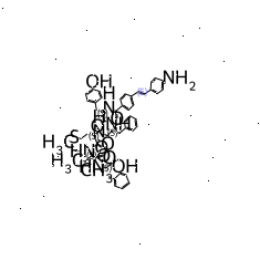 CSCC[C@H](NC(=O)[C@H](Cc1ccccc1)NC(=O)[C@H](Cc1ccc(O)cc1)NC(=O)c1ccc(/C=C/c2ccc(N)cc2)cc1)C(=O)N[C@H](C(=O)N[C@@H](Cc1ccccc1)C(=O)O)C(C)C